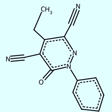 CCc1c(C#N)nn(-c2ccccc2)c(=O)c1C#N